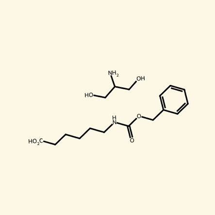 NC(CO)CO.O=C(O)CCCCCNC(=O)OCc1ccccc1